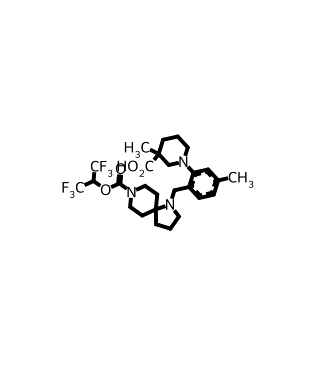 Cc1ccc(CN2CCCC23CCN(C(=O)OC(C(F)(F)F)C(F)(F)F)CC3)c(N2CCCC(C)(C(=O)O)C2)c1